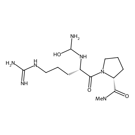 CNC(=O)[C@H]1CCCN1C(=O)[C@H](CCCNC(=N)N)NC(N)O